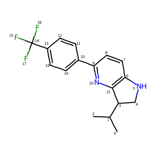 CC(C)C1CNc2ccc(-c3ccc(C(F)(F)F)cc3)nc21